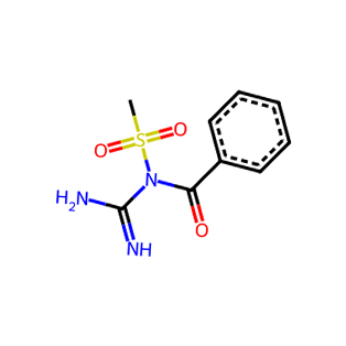 CS(=O)(=O)N(C(=N)N)C(=O)c1ccccc1